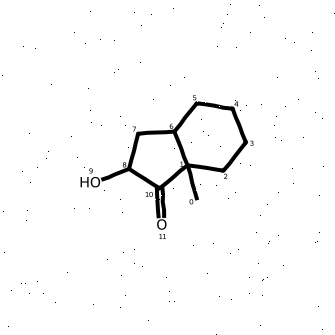 CC12CCCCC1CC(O)C2=O